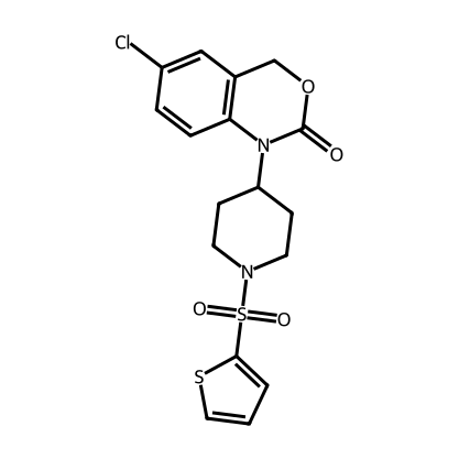 O=C1OCc2cc(Cl)ccc2N1C1CCN(S(=O)(=O)c2cccs2)CC1